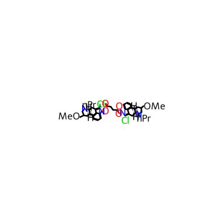 CCCN1CC(COC)C[C@H]2c3cccc4c3c(c(Cl)n4OC(=O)CCC(=O)On3c(Cl)c4c5c(cccc53)[C@@H]3CC(COC)CN(CCC)[C@H]3C4)C[C@@H]21